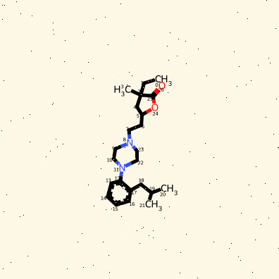 CCC1(C)CC(CCN2CCN(c3ccccc3CC(C)C)CC2)OC1=O